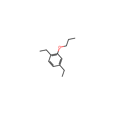 CCCOc1cc(CC)ccc1CC